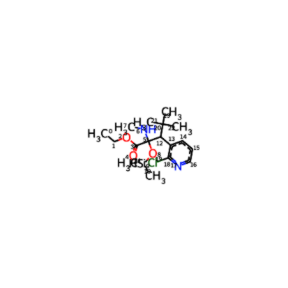 CCOC(=O)C(NC)(O[SiH](C)C)C(c1cccnc1Cl)C(C)(C)C